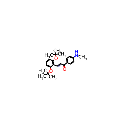 CNc1ccc(C(=O)/C=C/c2c(OC(C)(C)C)cccc2OC(C)(C)C)cc1